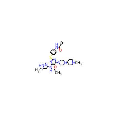 CCOc1c(Nc2cc(C)[nH]n2)nc(Sc2ccc(NC(=O)C3CC3)cc2)nc1N1CCN(C2CCN(C)CC2)CC1